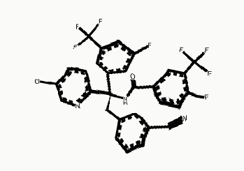 N#Cc1cccc(C[C@](NC(=O)c2ccc(F)c(C(F)(F)F)c2)(c2cc(F)cc(C(F)(F)F)c2)c2ccc(Cl)cn2)c1